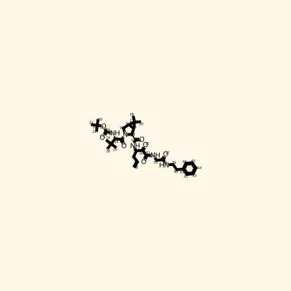 C=CCC(NC(=O)[C@@H]1C2C(CN1C(=O)[C@@H](NC(=O)OC(C)(C)C)C(C)(C)C)C2(C)C)C(=O)C(=O)NCC(=O)NCCc1ccccc1